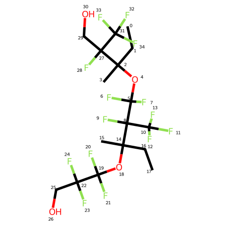 CCC(C)(OC(F)(F)C(F)(C(F)(F)F)C(C)(CC)OC(F)(F)C(F)(F)CO)C(F)(CO)C(F)(F)F